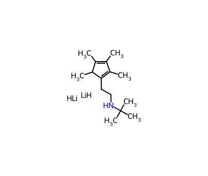 CC1=C(C)C(C)C(CCNC(C)(C)C)=C1C.[LiH].[LiH]